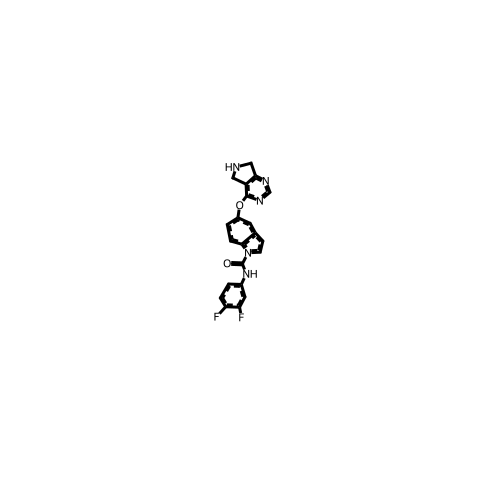 O=C(Nc1ccc(F)c(F)c1)n1ccc2cc(Oc3ncnc4c3CNC4)ccc21